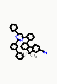 CC1(C)c2cc(C#N)ccc2-c2c(-c3ccccc3-c3cc(-c4ccccc4)nc(-c4cccc(-c5ccccc5)c4)n3)cccc21